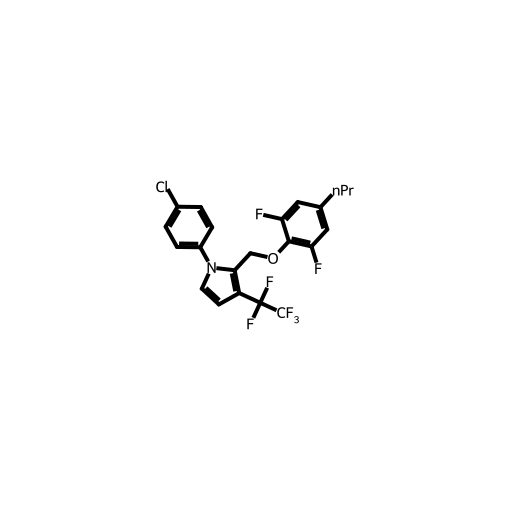 CCCc1cc(F)c(OCc2c(C(F)(F)C(F)(F)F)ccn2-c2ccc(Cl)cc2)c(F)c1